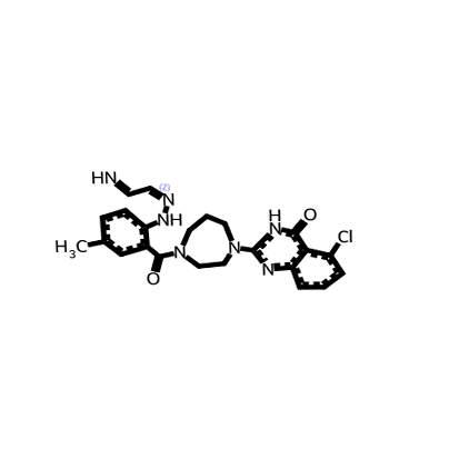 Cc1ccc(N/N=C\C=N)c(C(=O)N2CCCN(c3nc4cccc(Cl)c4c(=O)[nH]3)CC2)c1